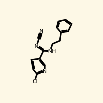 N#CN=C(NCCc1ccccc1)c1ccc(Cl)nc1